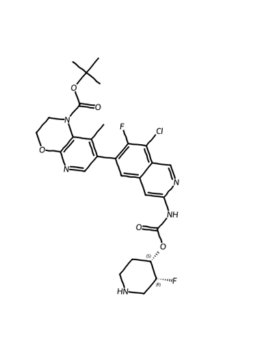 Cc1c(-c2cc3cc(NC(=O)O[C@H]4CCNC[C@H]4F)ncc3c(Cl)c2F)cnc2c1N(C(=O)OC(C)(C)C)CCO2